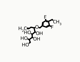 C=CCC(OCc1cc(F)c(CC)c(F)c1)C(O)C(O)C(O)C(O)CO